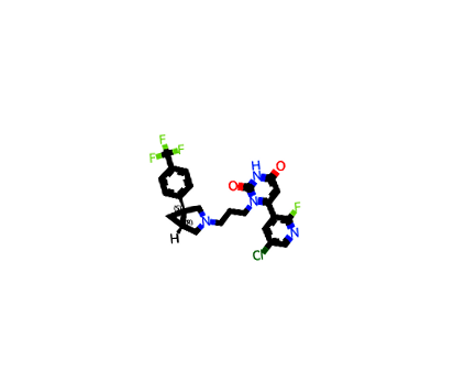 O=c1cc(-c2cc(Cl)cnc2F)n(CCCN2C[C@@H]3C[C@]3(c3ccc(C(F)(F)F)cc3)C2)c(=O)[nH]1